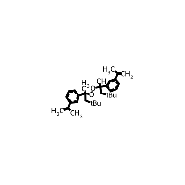 C=C(C)c1cccc(C(C)(CC(C)(C)C)OOC(C)(CC(C)(C)C)c2cccc(C(=C)C)c2)c1